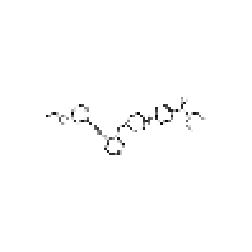 CCOc1cccc(C#Cc2ccccc2CN2CCN(c3ccc(C(=O)N(CC)CC)cc3)CC2)c1